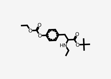 CCNC(Cc1ccc(OC(=O)OCC)cc1)C(=O)OC(C)(C)C